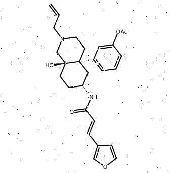 C=CCN1CC[C@@]2(c3cccc(OC(C)=O)c3)C[C@H](NC(=O)/C=C/c3ccoc3)CC[C@]2(O)C1